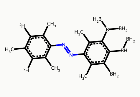 [2H]c1c(C)c([2H])c(C)c(N=Nc2c(C)c(B)c(BB)c(B(B)B)c2C)c1C